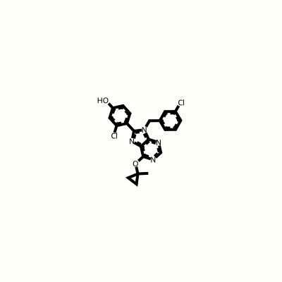 CC1(Oc2ncnc3c2nc(-c2ccc(O)cc2Cl)n3Cc2cccc(Cl)c2)CC1